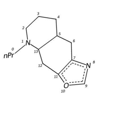 CCCN1CCCC2Cc3ncoc3CC21